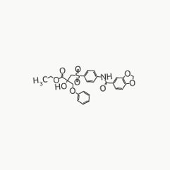 CCOC(=O)C(O)(COc1ccccc1)CS(=O)(=O)c1ccc(NC(=O)c2ccc3c(c2)OCO3)cc1